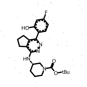 CC(C)(C)OC(=O)N1CCC[C@@H](Nc2nnc(-c3ccc(F)cc3O)c3c2CCC3)C1